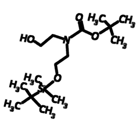 CC(C)(C)OC(=O)N(CCO)CCO[Si](C)(C)C(C)(C)C